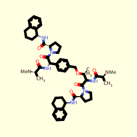 CN[C@@H](C)C(=O)NC(C(=O)N1CCC[C@H]1C(=O)N[C@@H]1CCCc2ccccc21)[C@@H](C)OCc1ccc([C@H](NC(=O)[C@H](C)NC)C(=O)N2CCC[C@H]2C(=O)N[C@@H]2CCCc3ccccc32)cc1